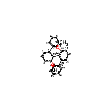 COc1cccc(-c2ccccc2)c1-c1c(OC)cccc1-c1ccccc1